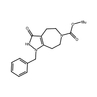 CC(C)(C)OC(=O)N1CCc2c(n(Cc3ccccc3)[nH]c2=O)CC1